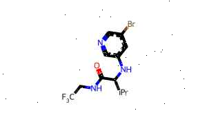 CC(C)C(Nc1cncc(Br)c1)C(=O)NCC(F)(F)F